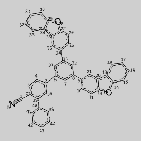 N#Cc1ccc(-c2cc(-c3ccc4oc5ccccc5c4c3)cc(-c3ccc4oc5ccccc5c4c3)c2)cc1-c1ccccc1